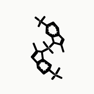 CC1=Cc2ccc([Si](C)(C)C)cc2C1[Si](C)(C)C1C(C)=Cc2ccc([Si](C)(C)C)cc21